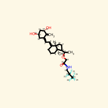 C=C1/C(=C\C=C2/CCC[C@]3(C)C(C(C)OCC(=O)NCC(F)(F)C(F)(F)F)CC[C@@H]23)C[C@@H](O)C[C@@H]1O